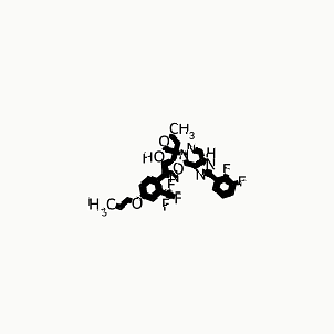 CCCOc1ccc(-c2cc(C(CCC)(C(=O)O)N3Cc4nc(-c5cccc(F)c5F)[nH]c4C=N3)on2)c(C(F)(F)F)c1